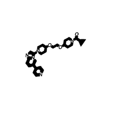 O=C(C1CC1)N1CCC(OCCOC2CCN(c3cnc4ccc(-c5ccncc5)cn34)CC2)CC1